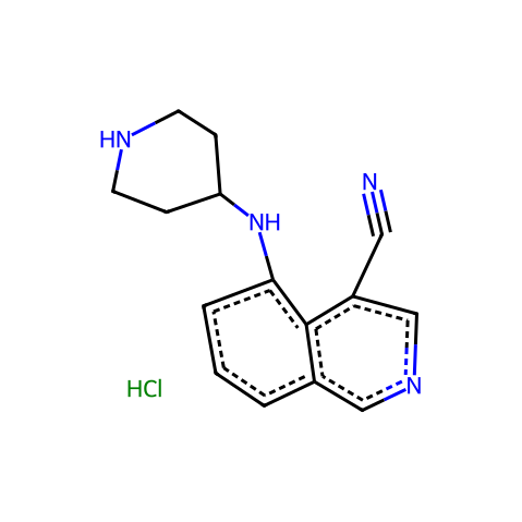 Cl.N#Cc1cncc2cccc(NC3CCNCC3)c12